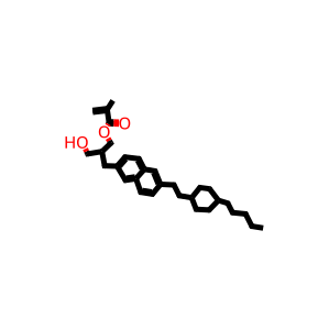 C=C(C)C(=O)OCC(CO)Cc1ccc2cc(CCC3CCC(CCCCC)CC3)ccc2c1